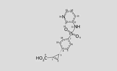 O=C(O)C1=C[C@H]1c1ccc(S(=O)(=O)Nc2cccnc2)cc1